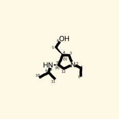 CCN1C[C@H](CO)[C@@H](NC(C)C)C1